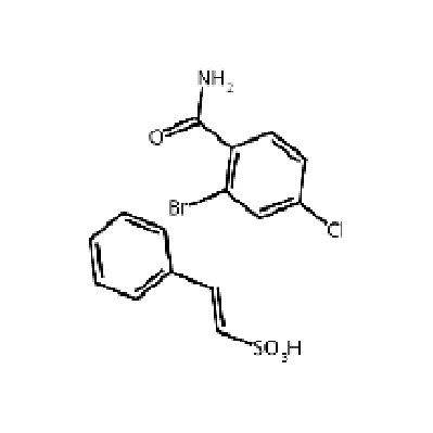 NC(=O)c1ccc(Cl)cc1Br.O=S(=O)(O)/C=C/c1ccccc1